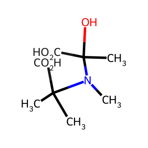 CN(C(C)(C)C(=O)O)C(C)(O)C(=O)O